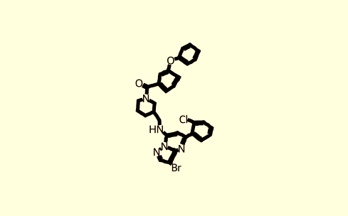 O=C(c1cccc(Oc2ccccc2)c1)N1CCCC(CNc2cc(-c3ccccc3Cl)nc3c(Br)cnn23)C1